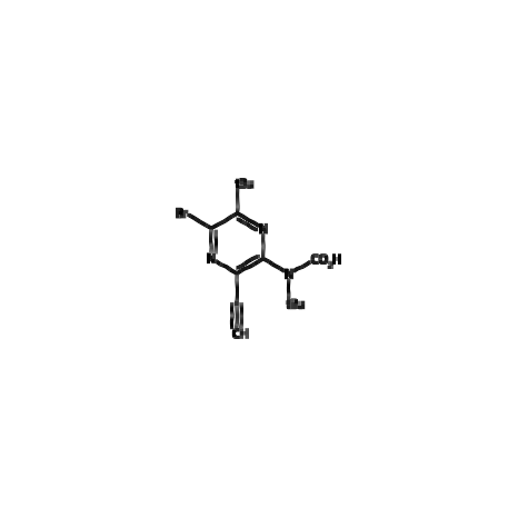 C#Cc1nc(Br)c(C(C)(C)C)nc1N(C(=O)O)C(C)(C)C